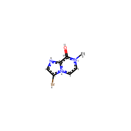 CCn1ccn2c(Br)cnc2c1=O